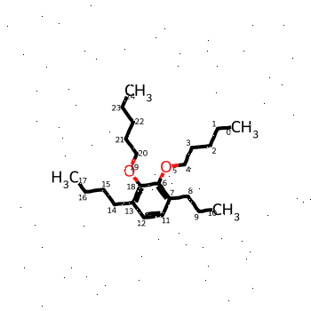 CCCCCOc1c(CCC)ccc(CCCC)c1OCCCCC